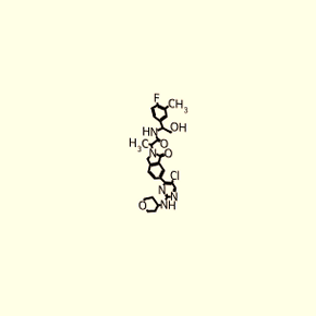 Cc1cc(C(CO)NC(=O)C(C)N2Cc3ccc(-c4nc(NC5CCOCC5)ncc4Cl)cc3C2=O)ccc1F